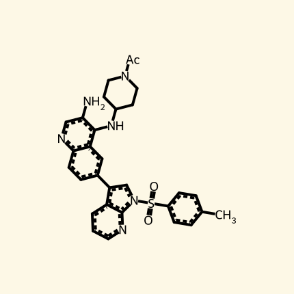 CC(=O)N1CCC(Nc2c(N)cnc3ccc(-c4cn(S(=O)(=O)c5ccc(C)cc5)c5ncccc45)cc23)CC1